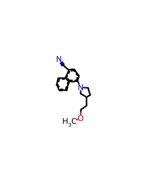 COCCC1CCN(c2ccc(C#N)c3ccccc23)C1